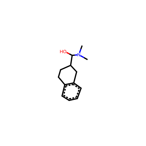 CN(C)C(O)C1CCc2ccccc2C1